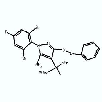 CCCCCCC(C)(CCC)c1c(OCc2ccccc2)nn(-c2c(Br)cc(F)cc2Br)c1N